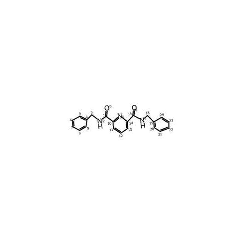 O=C(NCc1ccccc1)c1cccc(C(=O)NCc2ccccc2)n1